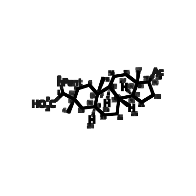 CCCCCC(C(=O)O)[C@]1(C)CC[C@@]2(C)[C@@H](CC[C@@H]3[C@@H]2CC[C@]2(C)[C@@H](C(C)=O)CC[C@@H]32)C1